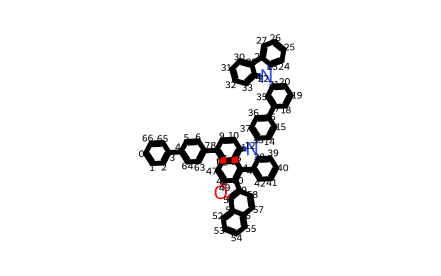 c1ccc(-c2ccc(-c3ccc(N(c4ccc(-c5cccc(-n6c7ccccc7c7ccccc76)c5)cc4)c4ccccc4-c4cccc5oc6c7ccccc7ccc6c45)cc3)cc2)cc1